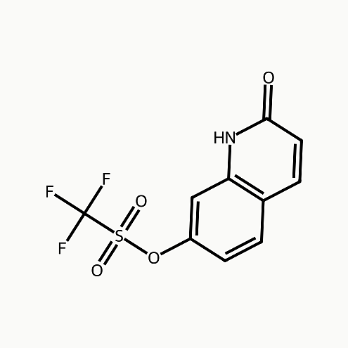 O=c1ccc2ccc(OS(=O)(=O)C(F)(F)F)cc2[nH]1